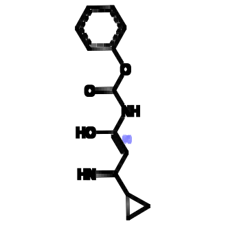 N=C(/C=C(\O)NC(=O)Oc1ccccc1)C1CC1